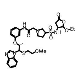 CCOC1OC(=O)CC1NS(=O)(=O)C1CCN(CC(=O)Nc2cccc(O[C@H](C)C(SCCOC)n3cnc4ccccc43)c2)C1